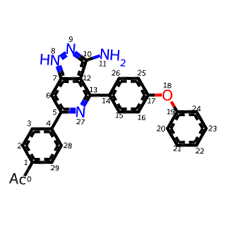 CC(=O)c1ccc(-c2cc3[nH]nc(N)c3c(-c3ccc(Oc4ccccc4)cc3)n2)cc1